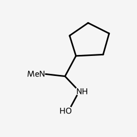 CNC(NO)C1CCCC1